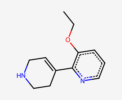 CCOc1cccnc1C1=CCNCC1